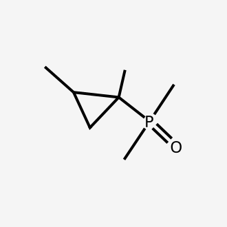 CC1CC1(C)P(C)(C)=O